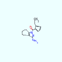 CCc1ccccc1C(=O)n1nc(N)c2c1CCCC2